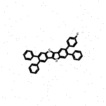 Fc1ccc(-c2cc3c(cc2-c2ccccc2)sc2c4cc(-c5ccccc5)c(-c5ccccc5)cc4sc32)cc1